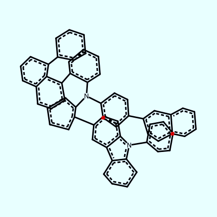 c1ccc(-c2cccc3cccc(-c4ccccc4N(c4ccc(-c5ccc6ccccc6c5)cc4)c4ccccc4-c4ccc5c(c4)c4ccccc4n5-c4ccccc4)c23)cc1